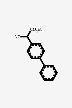 CCOC(=O)C(C#N)c1ccc(-c2ccccc2)cc1